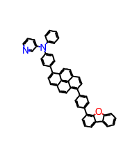 c1ccc(N(c2ccc(-c3ccc4ccc5c(-c6ccc(-c7cccc8c7oc7ccccc78)cc6)ccc6ccc3c4c65)cc2)c2cccnc2)cc1